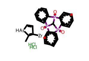 CC1=[C]([Zr])C=C[AsH]1.Cl.Cl.O=P(c1ccccc1)(c1ccccc1)C(P(=O)(c1ccccc1)c1ccccc1)P(=O)(c1ccccc1)c1ccccc1